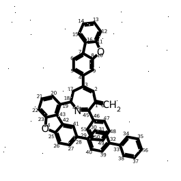 C=C1C=C(c2ccc3c(c2)oc2ccccc23)CC(c2cccc3oc4ccc(-c5ccc(-c6ccccc6)cc5)cc4c23)N=C1c1ccccc1